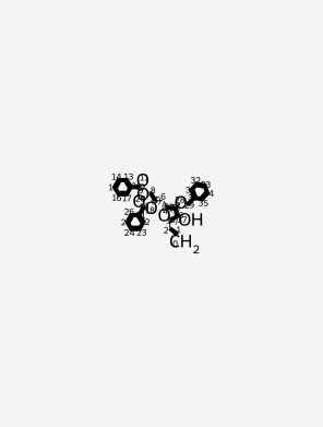 C=CC[C@@H]1O[C@H](C[C@@H](COC(=O)c2ccccc2)OC(=O)c2ccccc2)[C@H](OCc2ccccc2)C1O